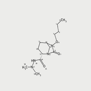 CCCCON1C(=O)N2CC1CC[C@H]2C(=O)NN(C)C